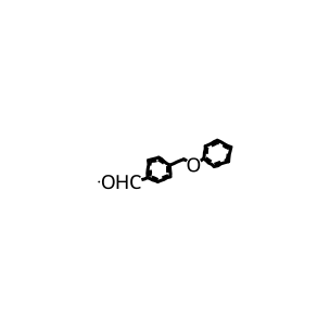 O=[C]c1ccc(COc2ccccc2)cc1